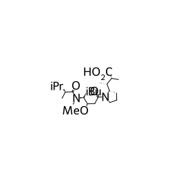 CC[C@H](C)[C@@H]([C@@H](CC(=O)N1CCC[C@H]1[C@H](C)[C@@H](C)C(=O)O)OC)N(C)C(=O)[C@@H](C)C(C)C